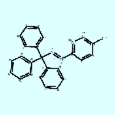 Clc1ccc(/N=N/C(c2ccccc2)(c2ccccc2)c2ccccc2)nn1